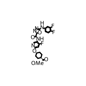 COC(=O)[C@H]1CC[C@H](Oc2cc(F)c(NC(=O)c3nnc(Nc4ccc(F)c(F)c4)o3)cn2)CC1